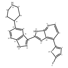 Fc1ccc(-c2ccnc3[nH]c(-c4n[nH]c5ncc(C6CCNCC6)cc45)nc23)s1